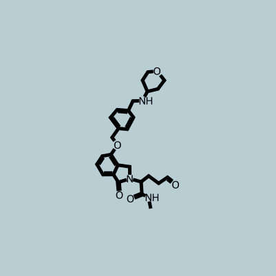 CNC(=O)C(CCC=O)N1Cc2c(OCc3ccc(CNC4CCOCC4)cc3)cccc2C1=O